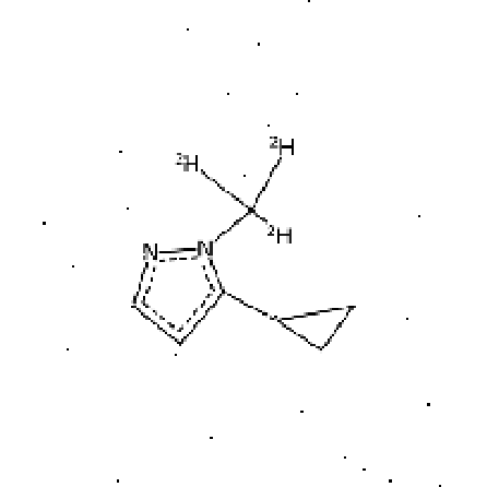 [2H]C([2H])([2H])n1nccc1C1CC1